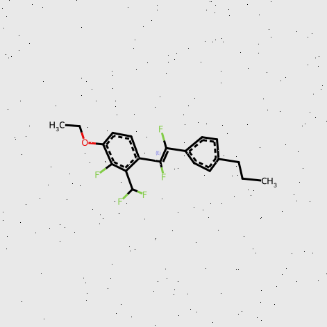 CCCc1ccc(/C(F)=C(\F)c2ccc(OCC)c(F)c2C(F)F)cc1